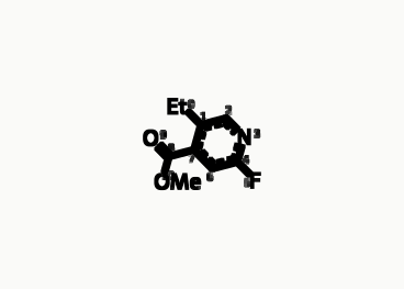 CCc1cnc(F)cc1C(=O)OC